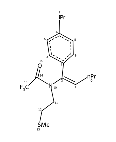 CCC/C=C(\c1ccc(C(C)C)cc1)N(CCSC)C(=O)C(F)(F)F